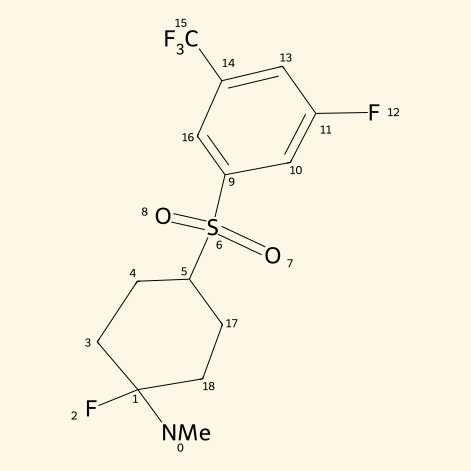 CNC1(F)CCC(S(=O)(=O)c2cc(F)cc(C(F)(F)F)c2)CC1